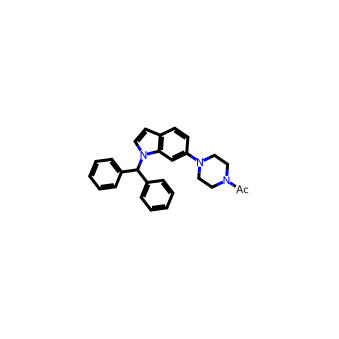 CC(=O)N1CCN(c2ccc3ccn(C(c4ccccc4)c4ccccc4)c3c2)CC1